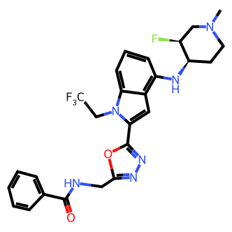 CN1CC[C@@H](Nc2cccc3c2cc(-c2nnc(CNC(=O)c4ccccc4)o2)n3CC(F)(F)F)[C@@H](F)C1